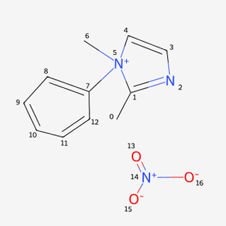 CC1=NC=C[N+]1(C)c1ccccc1.O=[N+]([O-])[O-]